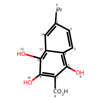 CC(C)c1ccc2c(O)c(C(=O)O)c(O)c(O)c2c1